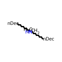 C=C.CCCCCCCCCCCCCCCCCCNCCCCCCCCCCCCCCCCCC